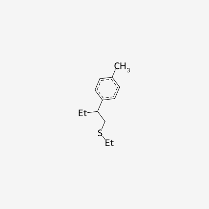 CCSCC(CC)c1ccc(C)cc1